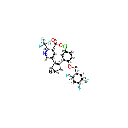 O=C([O-])c1cc(C2=C(c3cc(Cl)ccc3OCc3cc(F)c(F)cc3F)CCC2)cnc1C(F)(F)F.[Na+]